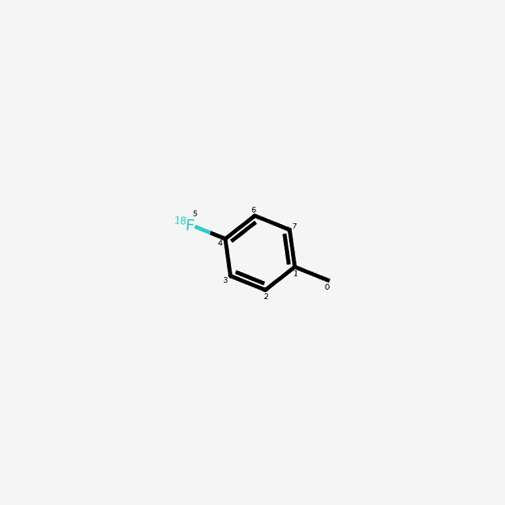 Cc1ccc([18F])cc1